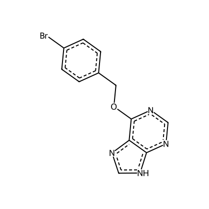 Brc1ccc(COc2ncnc3[nH]cnc23)cc1